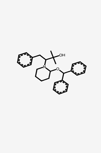 CC(C)(O)C(Cc1ccccc1)N1CCCCC1OC(c1ccccc1)c1ccccc1